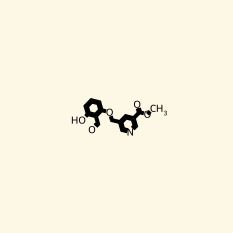 COC(=O)c1cncc(COc2cccc(O)c2C=O)c1